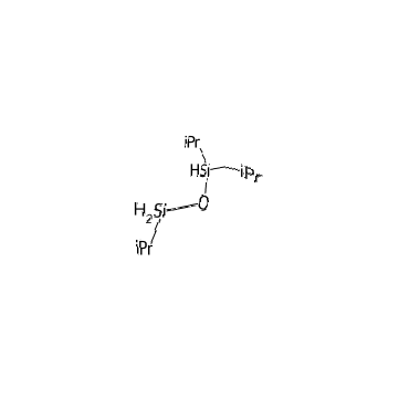 CC(C)[SiH2]O[SiH](C(C)C)C(C)C